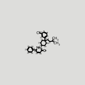 C[C](C)CCC1(c2cccc(Cl)c2)CCC(n2nc(-c3ccccc3)ccc2=O)CC1